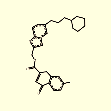 Cc1ccc2c(c1)CC(C(=O)OCc1cn3cc(CCCC4CCCCC4)ccc3n1)=CC2=O